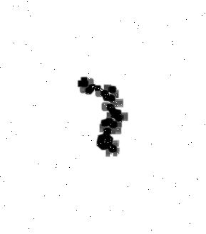 CC1(C)OC[C@H](COc2cc(NC(=O)C3C[C@H]4CN3C3=CN=C(c5cccc(C(F)(F)F)c5)NC3=N4)ncn2)O1